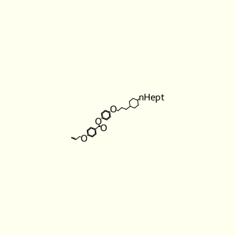 C=CCOc1ccc(C(=O)Oc2ccc(OCCCC3CCC(CCCCCCC)CC3)cc2)cc1